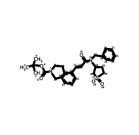 CC(C)(C)OC(=O)N1CCc2c(/C=C/C(=O)N(Cc3ccccc3)C3CCS(=O)(=O)C3)cccc2C1